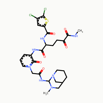 CNC(=O)C(=O)CCC(NC(=O)c1cc(Cl)c(Cl)s1)C(=O)Nc1cccn(CC(=O)NC2N(C)CC3CCCN2C3)c1=O